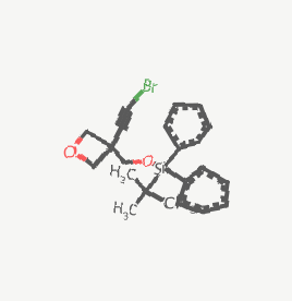 CC(C)(C)[Si](OCC1(C#CBr)COC1)(c1ccccc1)c1ccccc1